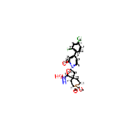 O=C(NO)C1(CCn2ccc(-c3ccc(Cl)cc3F)cc2=O)CCS(=O)(=O)CC1